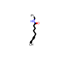 C#CC#CCCCCC(=O)NCC(C)C